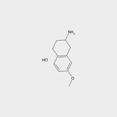 COc1ccc2c(c1)CC(N)CC2.Cl